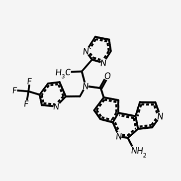 CC(c1ncccn1)N(Cc1ccc(C(F)(F)F)cn1)C(=O)c1ccc2nc(N)c3cnccc3c2c1